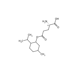 CC1CCC(C(C)C)C(OC(=O)CC[C@H](N)C(=O)O)C1